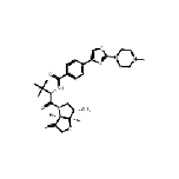 CN1CCN(c2nc(-c3ccc(C(=O)N[C@H](C(=O)N4C[C@H](N)[C@H]5OCC(=O)[C@H]54)C(C)(C)C)cc3)cs2)CC1